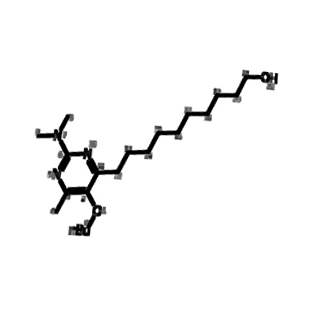 CCCCOc1c(C)nc(N(C)C)nc1CCCCCCCCCCO